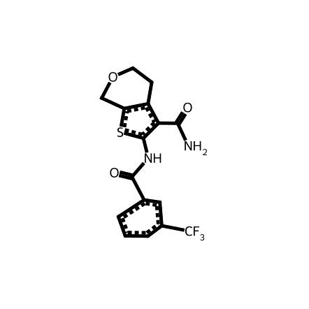 NC(=O)c1c(NC(=O)c2cccc(C(F)(F)F)c2)sc2c1CCOC2